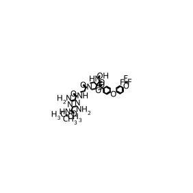 CC(C)(C)NC(=O)c1nc(N)c(C(=O)NCCC(=O)N2CCC(C(=O)NO)(S(=O)(=O)c3ccc(Oc4ccc(OC(F)(F)F)cc4)cc3)CC2)nc1N